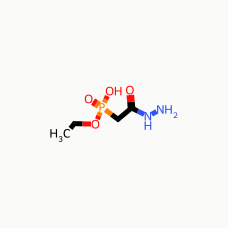 CCOP(=O)(O)CC(=O)NN